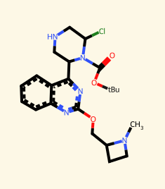 CN1CCC1COc1nc(C2CNCC(Cl)N2C(=O)OC(C)(C)C)c2ccccc2n1